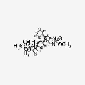 COC(=O)c1ncc2c(cc(-c3ccccc3)n2-c2ccc(C3(NC(=O)OC(C)(C)C)CCC3)cc2)n1